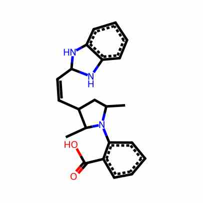 CC1CC(/C=C\C2Nc3ccccc3N2)C(C)N1c1ccccc1C(=O)O